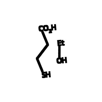 CCO.O=C(O)CCS